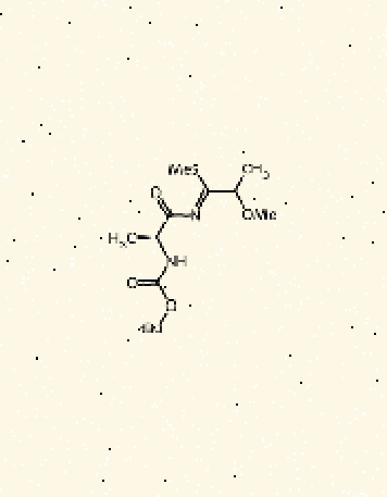 COC(C)C(=NC(=O)[C@H](C)NC(=O)OC(C)(C)C)SC